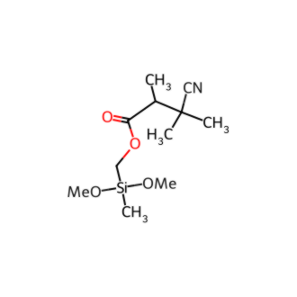 CO[Si](C)(COC(=O)C(C)C(C)(C)C#N)OC